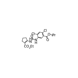 CCOC(=O)C1=C(NC(=O)Nc2cc(C(=O)OC(C)C)c(Cl)cc2Cl)CCC1